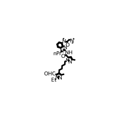 CCCn1c(NC(=O)c2cc(C)nn2CCCCCc2c(C)nn(CC)c2C=O)nc2c(N(C)C(=O)CN(C)C)cccc21